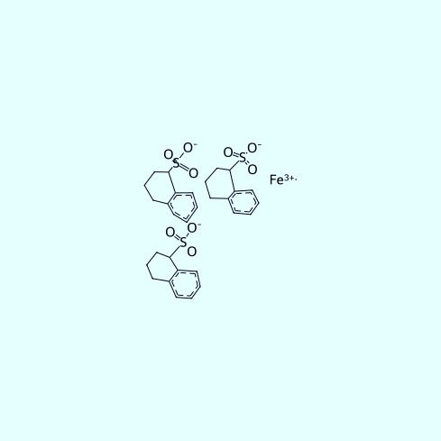 O=S(=O)([O-])C1CCCc2ccccc21.O=S(=O)([O-])C1CCCc2ccccc21.O=S(=O)([O-])C1CCCc2ccccc21.[Fe+3]